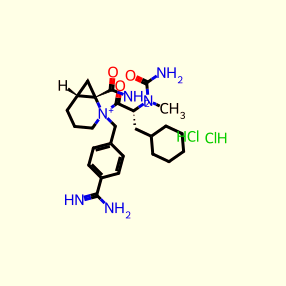 CN(C(N)=O)[C@H](CC1CCCCC1)C(=O)[N+]1(Cc2ccc(C(=N)N)cc2)CCC[C@@H]2C[C@@]21C(N)=O.Cl.Cl